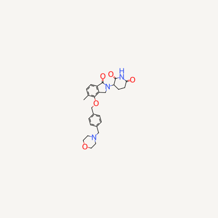 Cc1ccc2c(c1OCc1ccc(CN3CCOCC3)cc1)CN(C1CCC(=O)NC1=O)C2=O